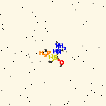 C[SH](=O)(P)NN